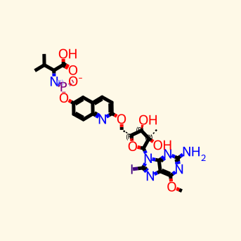 COc1nc(N)nc2c1nc(I)n2C1O[C@H](COc2ccc3cc(O/[P+]([O-])=N/C(C(=O)O)C(C)C)ccc3n2)[C@@H](O)[C@@]1(C)O